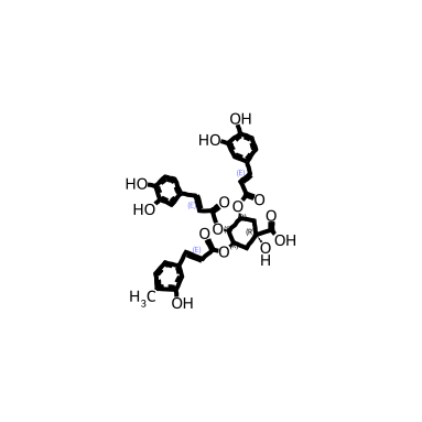 Cc1ccc(/C=C/C(=O)O[C@@H]2C[C@](O)(C(=O)O)C[C@@H](OC(=O)/C=C/c3ccc(O)c(O)c3)[C@H]2OC(=O)/C=C/c2ccc(O)c(O)c2)cc1O